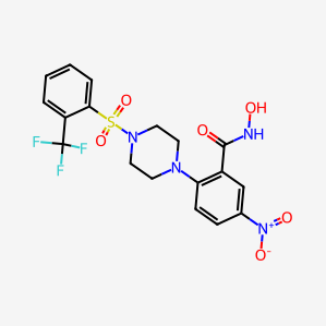 O=C(NO)c1cc([N+](=O)[O-])ccc1N1CCN(S(=O)(=O)c2ccccc2C(F)(F)F)CC1